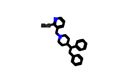 COc1ncccc1CN1CCC(C(Cc2ccccc2)c2ccccc2)CC1